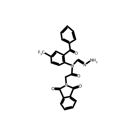 NN=CN(C(=O)CN1C(=O)c2ccccc2C1=O)c1ccc(C(F)(F)F)cc1C(=O)c1ccccc1